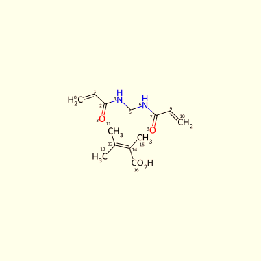 C=CC(=O)NCNC(=O)C=C.CC(C)=C(C)C(=O)O